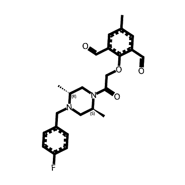 Cc1cc(C=O)c(OCC(=O)N2C[C@@H](C)N(Cc3ccc(F)cc3)C[C@@H]2C)c(C=O)c1